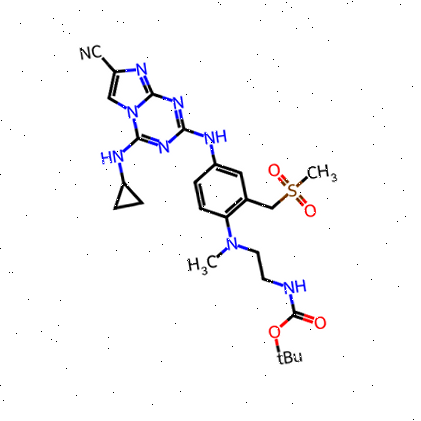 CN(CCNC(=O)OC(C)(C)C)c1ccc(Nc2nc(NC3CC3)n3cc(C#N)nc3n2)cc1CS(C)(=O)=O